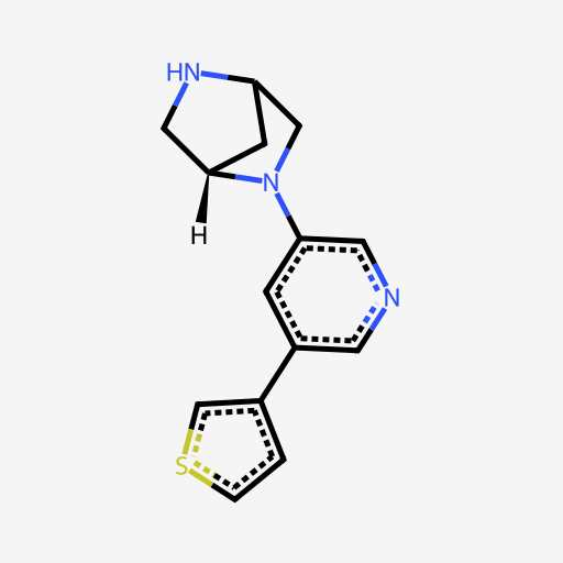 c1cc(-c2cncc(N3CC4C[C@H]3CN4)c2)cs1